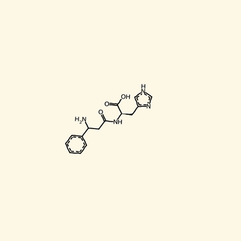 NC(CC(=O)N[C@H](Cc1c[nH]cn1)C(=O)O)c1ccccc1